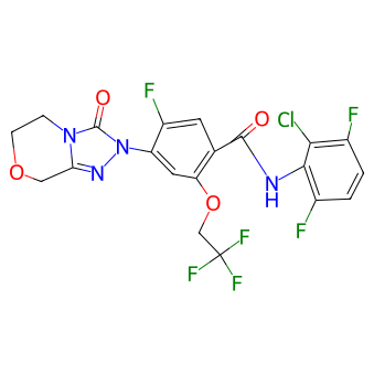 O=C(Nc1c(F)ccc(F)c1Cl)c1cc(F)c(-n2nc3n(c2=O)CCOC3)cc1OCC(F)(F)F